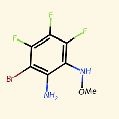 CONc1c(N)c(Br)c(F)c(F)c1F